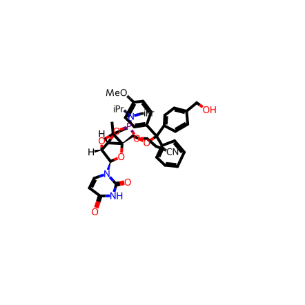 COc1ccc(C(OC[C@]23O[C@@H](n4ccc(=O)[nH]c4=O)[C@H](OC2(C)C)[C@@H]3OP(OCCC#N)N(C(C)C)C(C)C)(c2ccccc2)c2ccc(CO)cc2)cc1